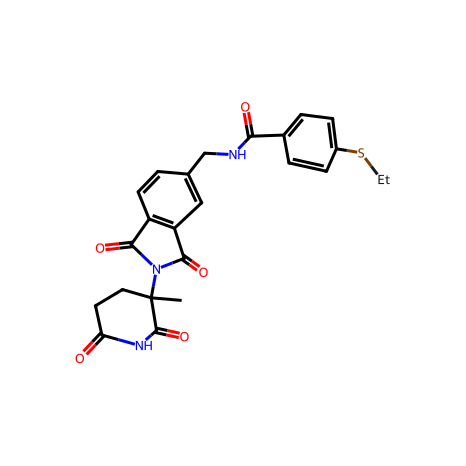 CCSc1ccc(C(=O)NCc2ccc3c(c2)C(=O)N(C2(C)CCC(=O)NC2=O)C3=O)cc1